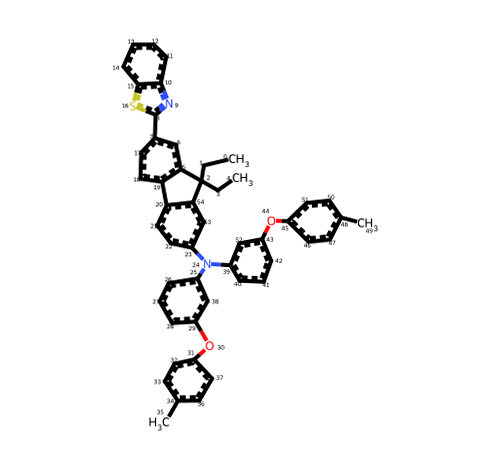 CCC1(CC)c2cc(-c3nc4ccccc4s3)ccc2-c2ccc(N(c3cccc(Oc4ccc(C)cc4)c3)c3cccc(Oc4ccc(C)cc4)c3)cc21